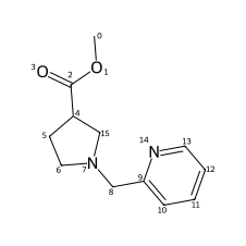 COC(=O)C1CCN(Cc2ccccn2)C1